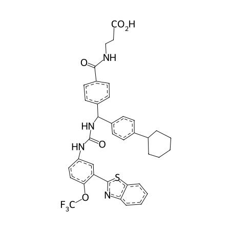 O=C(O)CCNC(=O)c1ccc(C(NC(=O)Nc2ccc(OC(F)(F)F)c(-c3nc4ccccc4s3)c2)c2ccc(C3CCCCC3)cc2)cc1